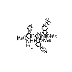 COc1cc(N2CCN(C)CC2)ccc1N.COc1cc2c(cc1Nc1ncc(F)c(Nc3ccc(N4CCN(C)CC4)cc3OC)n1)CCN(CC(=O)N(C)C)CC2